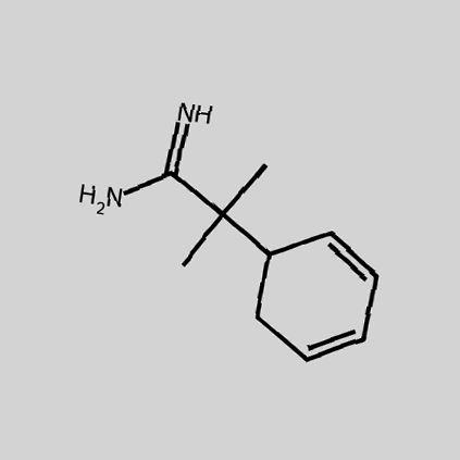 CC(C)(C(=N)N)C1C=CC=CC1